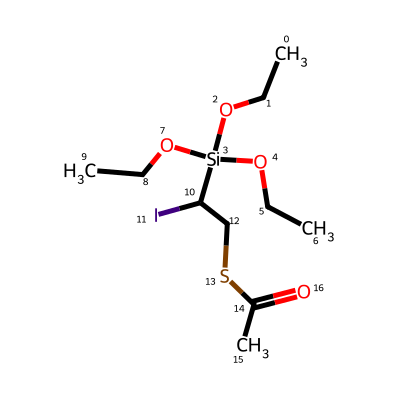 CCO[Si](OCC)(OCC)C(I)CSC(C)=O